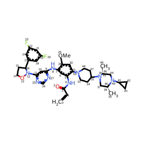 C=CC(=O)Nc1cc(Nc2cc(N3OCCC3c3cc(F)cc(F)c3)ncn2)c(OC)cc1N1CCC(N2C[C@@H](C)N(C3CC3)C[C@H]2C)CC1